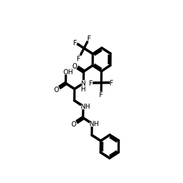 O=C(NCc1ccccc1)NCC(NC(=O)c1c(C(F)(F)F)cccc1C(F)(F)F)C(=O)O